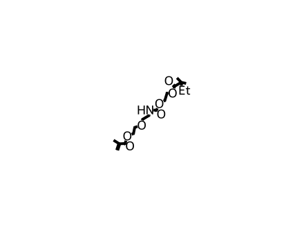 C=C(C)C(=O)OCCOCCNC(=O)OCCOC(=O)C(C)(C)CC